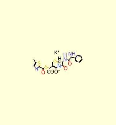 Cc1cnc(C(=O)SCC2=C(C(=O)[O-])N3C(=O)C(NC(=O)C(N)c4ccccc4)[C@@H]3SC2)s1.[K+]